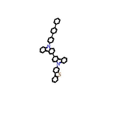 c1ccc(-c2ccc(-c3ccc(-n4c5ccccc5c5cc(-c6ccc7c(c6)c6ccccc6n7-c6ccc7c(c6)sc6ccccc67)ccc54)cc3)cc2)cc1